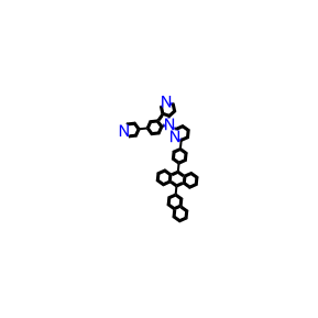 c1cc(-c2ccc(-c3c4ccccc4c(-c4ccc5ccccc5c4)c4ccccc34)cc2)nc(-n2c3ccncc3c3cc(-c4ccncc4)ccc32)c1